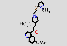 COc1ccc2nccc([C@@H](O)CC[C@@H]3CCN(CCSc4cccn4C)C[C@@H]3C(=O)O)c2c1